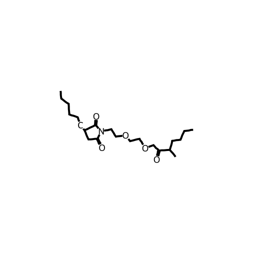 CCCCCCC1CC(=O)N(CCOCCOCC(=O)C(C)CCCC)C1=O